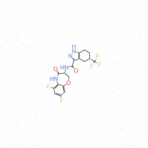 O=C(N[C@H]1COc2cc(F)cc(F)c2NC1=O)c1n[nH]c2c1C[C@H](C(F)(F)F)CC2